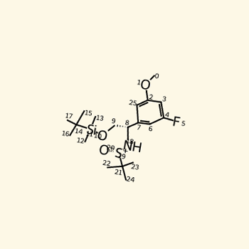 COc1cc(F)cc([C@@H](CO[Si](C)(C)C(C)(C)C)N[S@@+]([O-])C(C)(C)C)c1